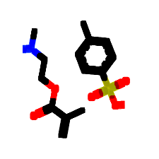 C=C(C)C(=O)OCCNC.Cc1ccc(S(=O)(=O)O)cc1